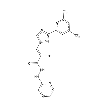 O=C(NNc1cnccn1)C(Br)=Cn1cnc(-c2cc(C(F)(F)F)cc(C(F)(F)F)c2)n1